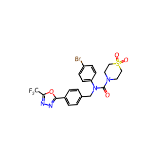 O=C(N1CCS(=O)(=O)CC1)N(Cc1ccc(-c2nnc(C(F)(F)F)o2)cc1)c1ccc(Br)cc1